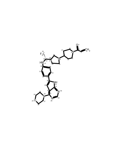 C=CC(=O)N1CCC(N2CC[C@@H]([C@H](Nc3ccc(-c4cc5c(N6CCOCC6)ncnc5[nH]4)cc3)C(F)(F)F)C2)CC1